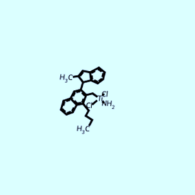 CCCCc1c([CH2][Ti]([NH2])([Cl])[Cl])c(C2C(C)=Cc3ccccc32)cc2ccccc12